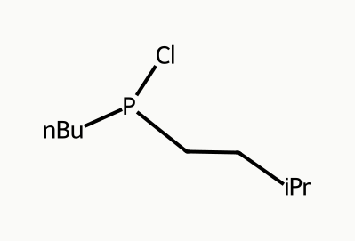 CCCCP(Cl)CCC(C)C